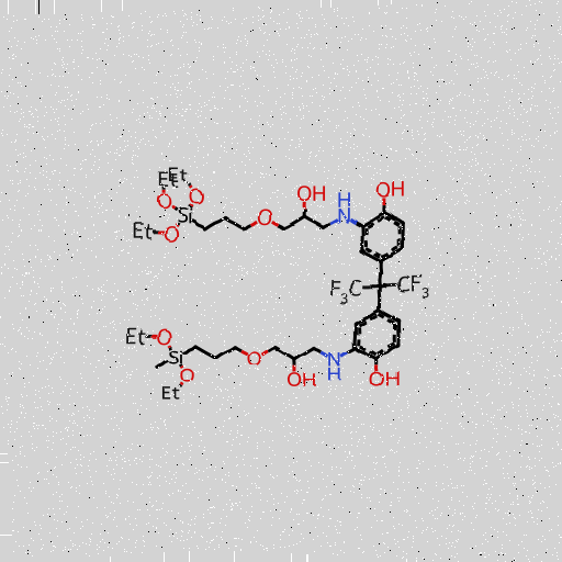 CCO[Si](C)(CCCOCC(O)CNc1cc(C(c2ccc(O)c(NCC(O)COCCC[Si](OCC)(OCC)OCC)c2)(C(F)(F)F)C(F)(F)F)ccc1O)OCC